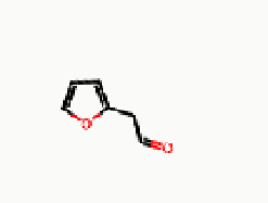 O=CCc1ccco1